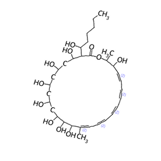 CCCCCC(O)C1C(=O)OC(C)C(O)\C=C/C=C\C=C/C=C\C=C(\C)C(O)C(O)C(O)CC(O)CC(O)CC(O)CC1O